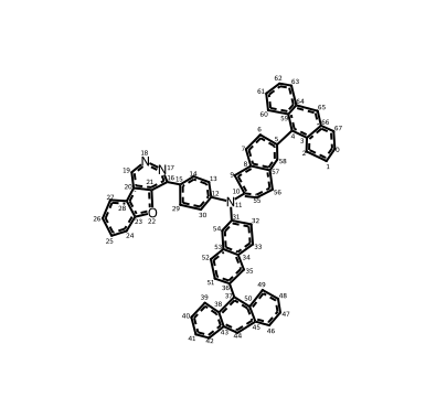 c1ccc2c(-c3ccc4cc(N(c5ccc(-c6nncc7c6oc6ccccc67)cc5)c5ccc6cc(-c7c8ccccc8cc8ccccc78)ccc6c5)ccc4c3)c3ccccc3cc2c1